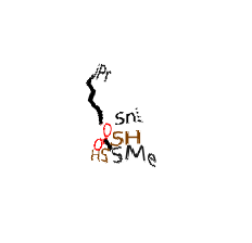 CSC(S)(S)C(=O)OCCCCCC(C)C.[Sn]